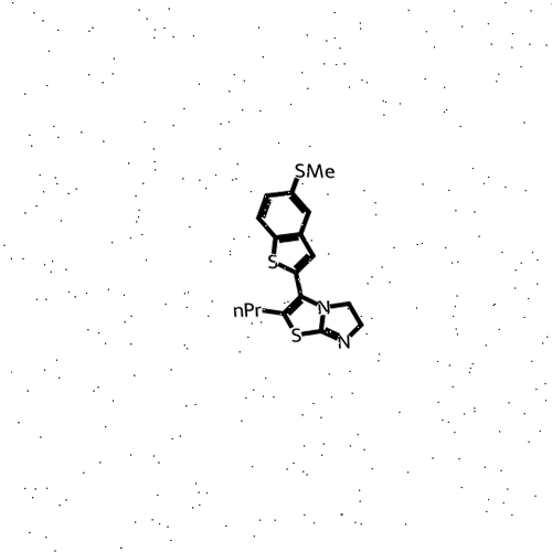 CCCC1=C(c2cc3cc(SC)ccc3s2)N2CCN=C2S1